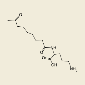 CC(=O)CCCCCCC(=O)NC(CCCN)C(=O)O